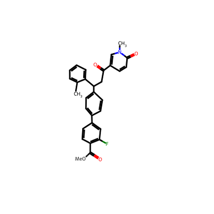 COC(=O)c1ccc(-c2ccc(C(CC(=O)c3ccc(=O)n(C)c3)c3ccccc3C)cc2)cc1F